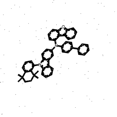 CC1(C)CCC(C)(C)c2c(-n3c4ccccc4c4cc(N(c5ccc(-c6ccccc6)cc5)c5cccc6oc7ccccc7c56)ccc43)cccc21